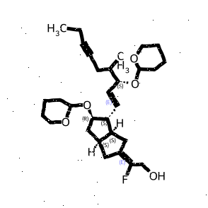 CCC#CCC(C)[C@@H](/C=C/[C@@H]1[C@H]2C/C(=C(/F)CO)C[C@H]2C[C@H]1OC1CCCCO1)OC1CCCCO1